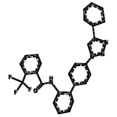 O=C(Nc1ccccc1-c1ccc(-n2cc(-c3ccccc3)nn2)cc1)c1ccccc1C(F)(F)F